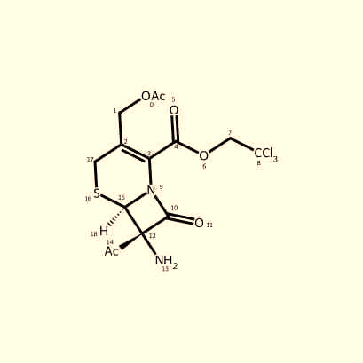 CC(=O)OCC1=C(C(=O)OCC(Cl)(Cl)Cl)N2C(=O)[C@@](N)(C(C)=O)[C@H]2SC1